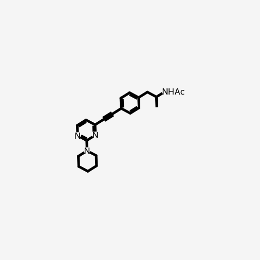 CC(=O)NC(C)Cc1ccc(C#Cc2ccnc(N3CCCCC3)n2)cc1